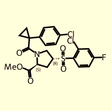 COC(=O)[C@@H]1C[C@@H](S(=O)(=O)c2ccc(F)cc2Cl)CN1C(=O)C1(c2ccc(Cl)cc2)CC1